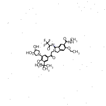 CCOc1cc2c(cc1C(=O)NC)/C(=N/C(=O)C(F)(F)F)N(CC(=O)c1cc(N3C[C@@H](O)[C@H](O)C3)c(OC)c(C(C)(C)C)c1)C2